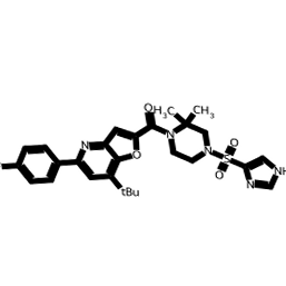 CC(C)(C)c1cc(-c2ccc(F)cc2)nc2cc(C(=O)N3CCN(S(=O)(=O)c4c[nH]cn4)CC3(C)C)oc12